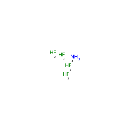 F.F.F.F.N